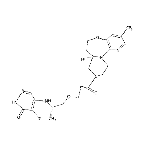 C[C@@H](COCCC(=O)N1CCN2c3ncc(C(F)(F)F)cc3OCC[C@@H]2C1)Nc1cn[nH]c(=O)c1F